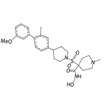 COc1cccc(-c2ccc(C3CCN(S(=O)(=O)C4(C(=O)NO)CCN(C)CC4)CC3)cc2C)c1